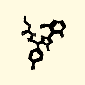 CCOC(=O)NNC(c1ccc(Cl)cc1)c1nc(-c2c(F)cccc2Cl)nn1C